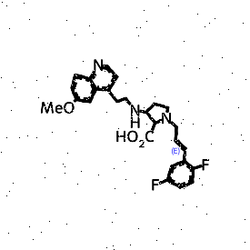 COc1ccc2nccc(CCNC3CCN(C/C=C/c4cc(F)ccc4F)C3C(=O)O)c2c1